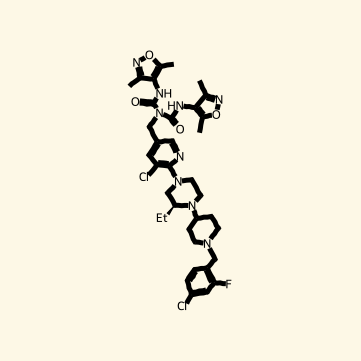 CC[C@H]1CN(c2ncc(CN(C(=O)Nc3c(C)noc3C)C(=O)Nc3c(C)noc3C)cc2Cl)CCN1C1CCN(Cc2ccc(Cl)cc2F)CC1